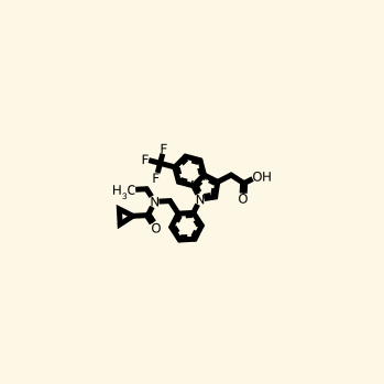 CCN(Cc1ccccc1-n1cc(CC(=O)O)c2ccc(C(F)(F)F)cc21)C(=O)C1CC1